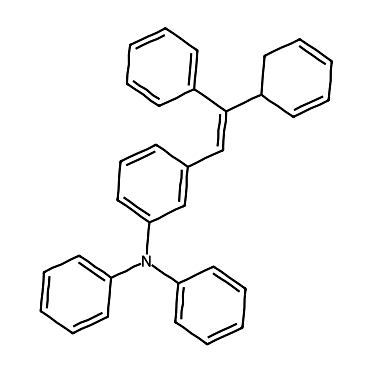 C1=CCC(C(=Cc2cccc(N(c3ccccc3)c3ccccc3)c2)c2ccccc2)C=C1